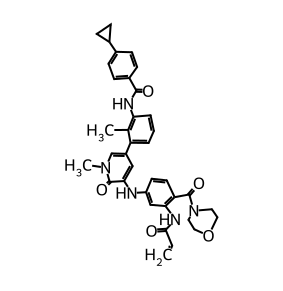 C=CC(=O)Nc1cc(Nc2cc(-c3cccc(NC(=O)c4ccc(C5CC5)cc4)c3C)cn(C)c2=O)ccc1C(=O)N1CCOCC1